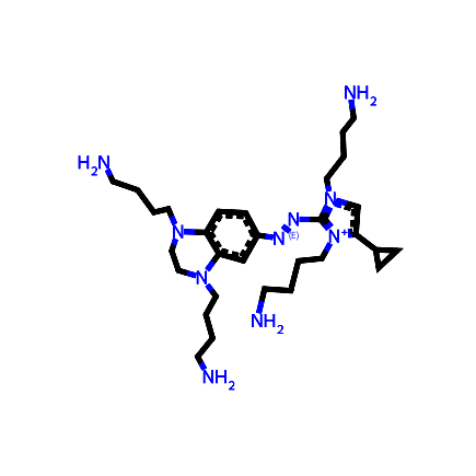 NCCCCN1CCN(CCCCN)c2cc(/N=N/c3n(CCCCN)cc(C4CC4)[n+]3CCCCN)ccc21